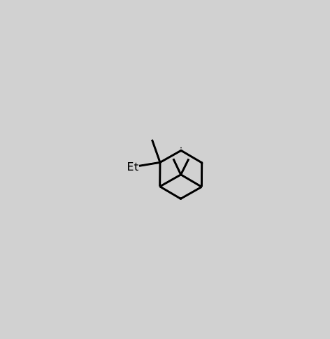 CCC1(C)[CH]CC2CC1C2(C)C